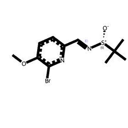 COc1ccc(/C=N/[S@+]([O-])C(C)(C)C)nc1Br